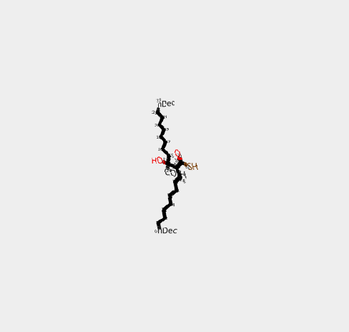 CCCCCCCCCCCCCCCCCCC(C(=O)S)C(O)(CCCCCCCCCCCCCCCCCC)C(=O)O